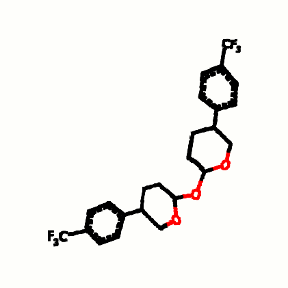 FC(F)(F)c1ccc(C2CCC(OC3CCC(c4ccc(C(F)(F)F)cc4)CO3)OC2)cc1